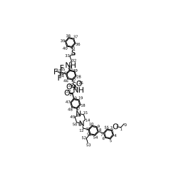 CCOc1cccc(-c2ccc(CN3CCN(c4ccc(C(=O)NS(=O)(=O)c5ccc(NCCSc6ccccc6)c(C(F)(F)F)c5)cc4)CC3)c(CC)c2)c1